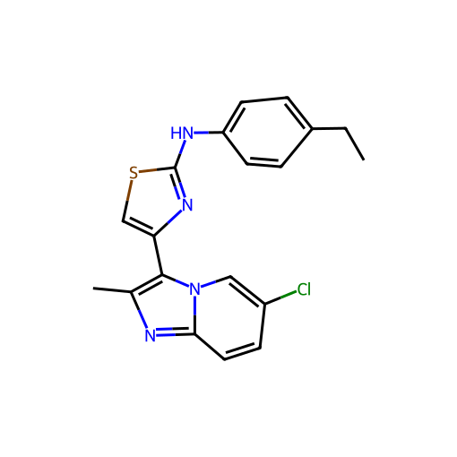 CCc1ccc(Nc2nc(-c3c(C)nc4ccc(Cl)cn34)cs2)cc1